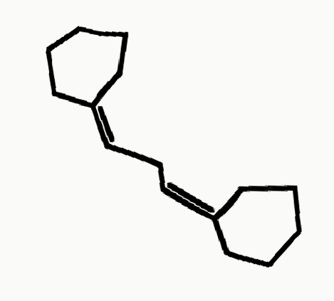 C(CC=C1CCCCC1)=C1CCCCC1